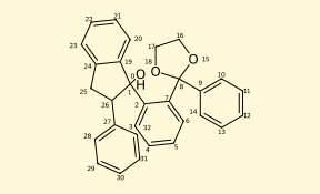 OC1(c2ccccc2C2(c3ccccc3)OCCO2)c2ccccc2CC1c1ccccc1